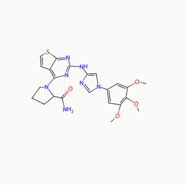 COc1cc(-n2cnc(Nc3nc(N4CCCC4C(N)=O)c4ccsc4n3)c2)cc(OC)c1OC